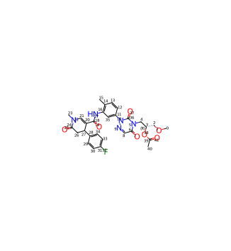 COC[C@@H](Cn1c(=O)cnn(-c2ccc(C)c(NC(=O)C3=CN(C)C(=O)CC3c3ccc(F)cc3)c2)c1=O)OC(C)=O